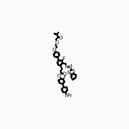 C=C(C)C(=O)COCCOc1ccc(-c2ccc(CCC(=O)Oc3ccc(-c4ccc(CCC)cc4)cc3F)c(/C=N/N(C)c3nc4ccccc4s3)c2F)cc1